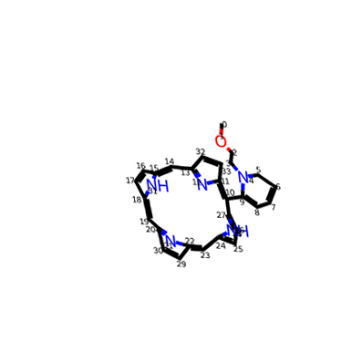 COCCN1CC=CC=C1c1c2nc(cc3ccc(cc4nc(cc5ccc1[nH]5)C=C4)[nH]3)C=C2